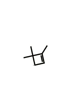 CC1=C[CH]C1(C)C